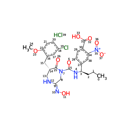 CCC[C@@H](NC(=O)N1C/C(=N\O)NC[C@H](Cc2cc(Cl)ccc2OC)C1=O)c1ccc(C(=O)O)c([N+](=O)[O-])c1.Cl